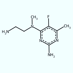 Cc1nc(N)nc(N(C)CCN)c1F